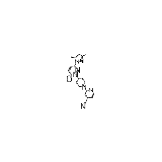 Cc1cc(C)n(-c2ccc(=O)n(C3CCN(c4cc(C#N)ccn4)CC3)n2)n1